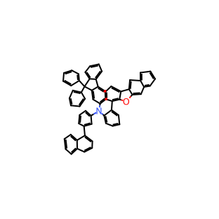 c1ccc(C2(c3ccccc3)c3ccccc3-c3ccc(N(c4cccc(-c5cccc6ccccc56)c4)c4ccccc4-c4cccc5c4oc4cc6ccccc6cc45)cc32)cc1